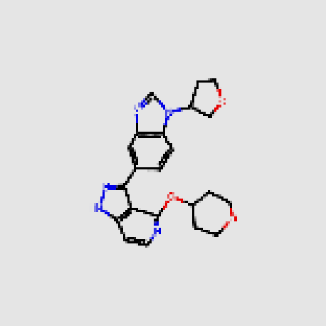 c1cc2[nH]nc(-c3ccc4c(c3)ncn4C3CCOC3)c2c(OC2CCOCC2)n1